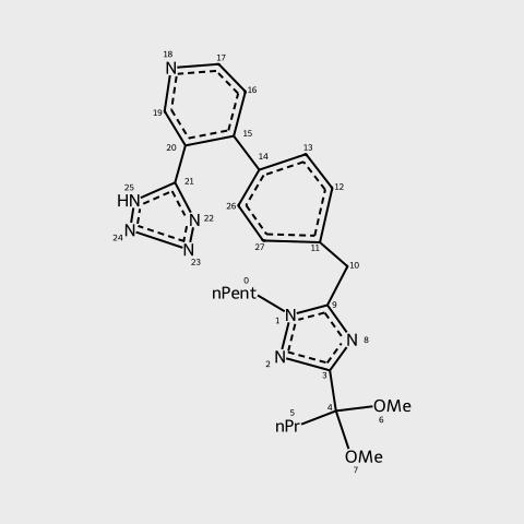 CCCCCn1nc(C(CCC)(OC)OC)nc1Cc1ccc(-c2ccncc2-c2nnn[nH]2)cc1